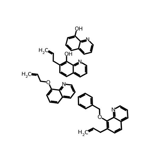 C=CCOc1cccc2cccnc12.C=CCc1ccc2cccnc2c1O.C=CCc1ccc2cccnc2c1OCc1ccccc1.Oc1cccc2cccnc12